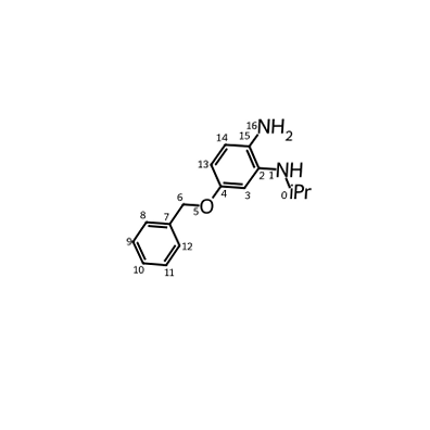 CC(C)Nc1cc(OCc2ccccc2)ccc1N